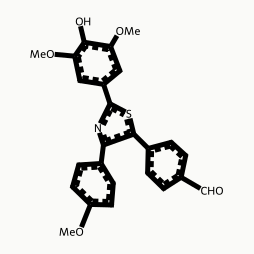 COc1ccc(-c2nc(-c3cc(OC)c(O)c(OC)c3)sc2-c2ccc(C=O)cc2)cc1